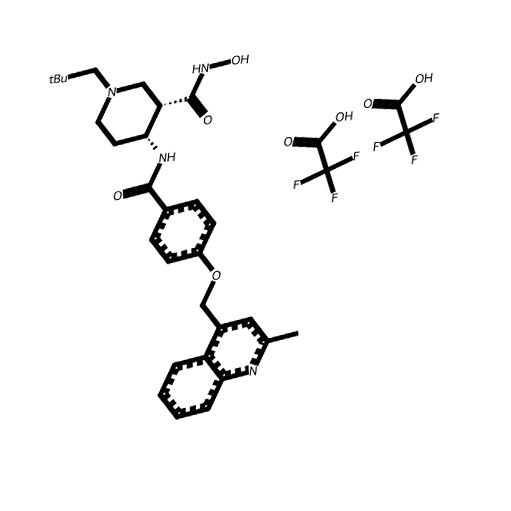 Cc1cc(COc2ccc(C(=O)N[C@@H]3CCN(CC(C)(C)C)C[C@@H]3C(=O)NO)cc2)c2ccccc2n1.O=C(O)C(F)(F)F.O=C(O)C(F)(F)F